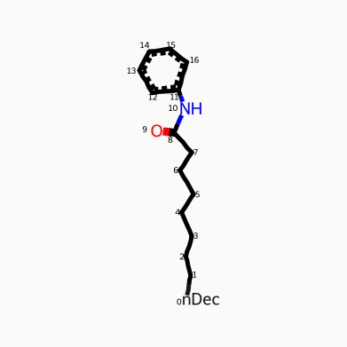 CCCCCCCCCCCCCCCCCC(=O)Nc1ccccc1